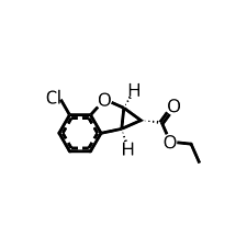 CCOC(=O)[C@H]1[C@@H]2Oc3c(Cl)cccc3[C@@H]21